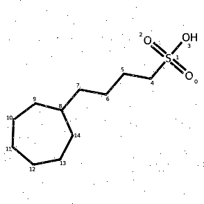 O=S(=O)(O)CCCCC1CCCCCC1